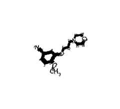 COc1ccc(C#N)cc1OCCCN1CCOCC1